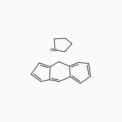 C1=CC2=Cc3ccccc3CC2=C1.C1CCNC1